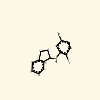 Fc1ccc(F)c(NC2CCc3ccccc32)c1